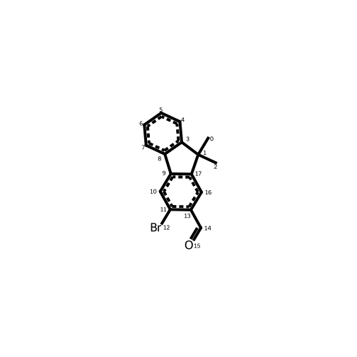 CC1(C)c2ccccc2-c2cc(Br)c(C=O)cc21